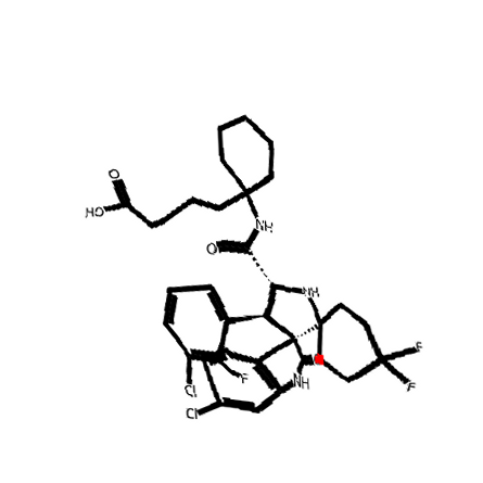 O=C(O)CCCC1(NC(=O)[C@@H]2NC3(CCC(F)(F)CC3)[C@@]3(C(=O)Nc4cc(Cl)ccc43)[C@H]2c2cccc(Cl)c2F)CCCCC1